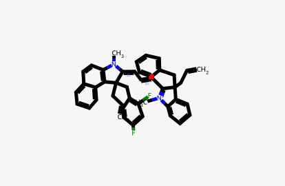 C=CCC1(Cc2ccccc2)C(/C=C/C=C2/N(C)c3ccc4ccccc4c3C2(CC=C)Cc2ccc(F)cc2F)=[N+](C)c2ccccc21